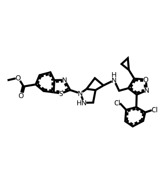 COC(=O)c1ccc2nc(N3NCC4C(NCc5c(-c6c(Cl)cccc6Cl)noc5C5CC5)CC43)sc2c1